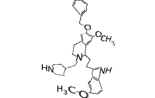 COc1ccc2[nH]cc(CCC3c4cc(OC)c(OCc5ccccc5)cc4CCN3CC3CCNCC3)c2c1